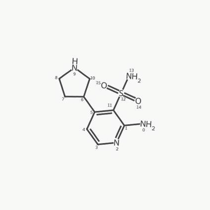 Nc1nccc(C2CCNC2)c1S(N)(=O)=O